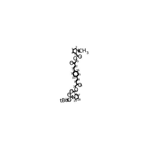 CN1CCCC1C(=O)OCC(=O)/C=C/c1ccc(/C=C/C(=O)COC(=O)[C@@H]2CCCN2C(=O)OC(C)(C)C)cc1